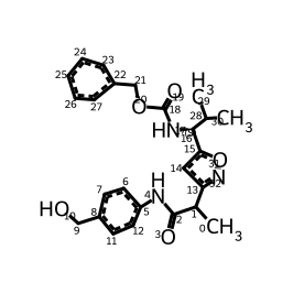 CC(C(=O)Nc1ccc(CO)cc1)c1cc([C@@H](NC(=O)OCc2ccccc2)C(C)C)on1